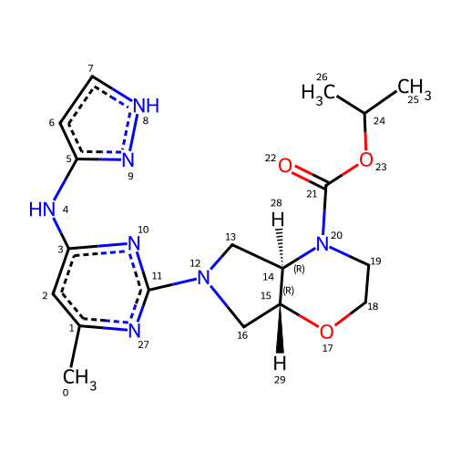 Cc1cc(Nc2cc[nH]n2)nc(N2C[C@@H]3[C@@H](C2)OCCN3C(=O)OC(C)C)n1